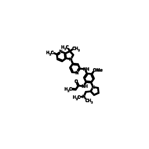 C=CC(=O)Nc1cc(Nc2cc(N3CC(C)(C)c4nc(C)ccc43)ccn2)c(OC)cc1N1CCCC1CN(C)C